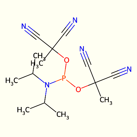 CC(C)N(C(C)C)P(OC(C)(C#N)C#N)OC(C)(C#N)C#N